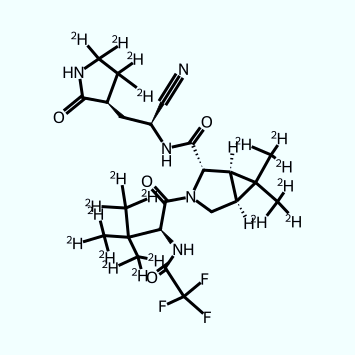 [2H]C([2H])([2H])C1(C([2H])([2H])[2H])[C@@H]2[C@@H](C(=O)N[C@H](C#N)C[C@H]3C(=O)NC([2H])([2H])C3([2H])[2H])N(C(=O)[C@@H](NC(=O)C(F)(F)F)C(C([2H])([2H])[2H])(C([2H])([2H])[2H])C([2H])([2H])[2H])C[C@@H]21